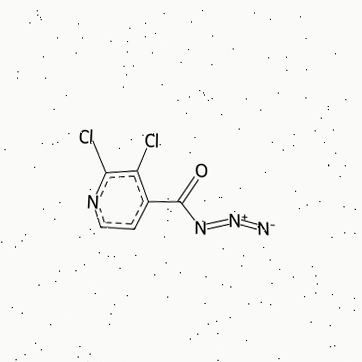 [N-]=[N+]=NC(=O)c1ccnc(Cl)c1Cl